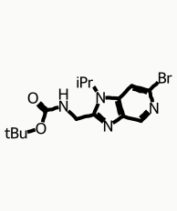 CC(C)n1c(CNC(=O)OC(C)(C)C)nc2cnc(Br)cc21